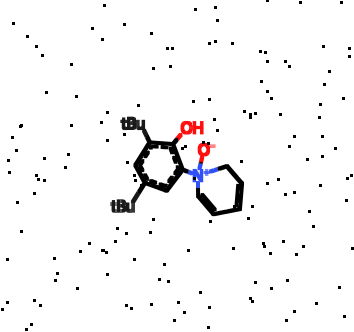 CC(C)(C)c1cc(C(C)(C)C)c(O)c([N+]2([O-])C=CC=CC2)c1